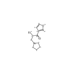 CCC(CN1CCCC1)C(=O)c1ccon1